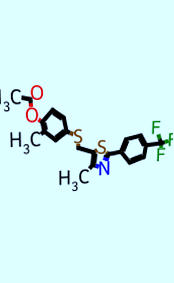 CC(=O)Oc1ccc(SCc2sc(-c3ccc(C(F)(F)F)cc3)nc2C)cc1C